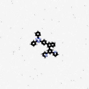 c1ccc(-c2nc(-c3ccccc3)nc(-c3ccc(-c4cc(-c5cc(-c6ccccn6)cc(-c6ccccn6)c5)c5ccccc5c4)cc3)n2)cc1